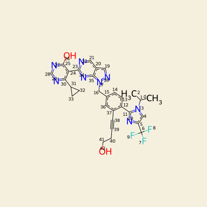 CC(C)n1cc(C(F)(F)F)nc1-c1ccc(Cn2ncc3cnc(-c4c(O)ncnc4C4CC4)nc32)cc1C#CCCO